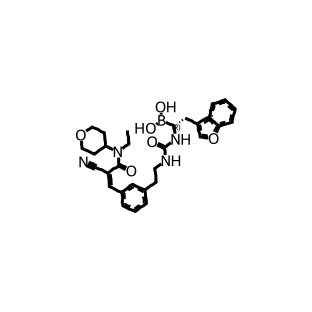 CCN(C(=O)C(C#N)=Cc1cccc(CCNC(=O)N[C@@H](Cc2coc3ccccc23)B(O)O)c1)C1CCOCC1